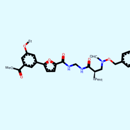 CCCCC[C@H](CN(C=O)OCc1ccccc1)C(=O)NCNC(=O)c1ccc(-c2cc(OCC)cc(C(=O)OC)c2)o1